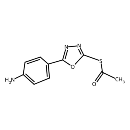 CC(=O)Sc1nnc(-c2ccc(N)cc2)o1